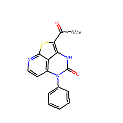 CNC(=O)c1sc2nccc3c2c1NC(=O)N3c1ccccc1